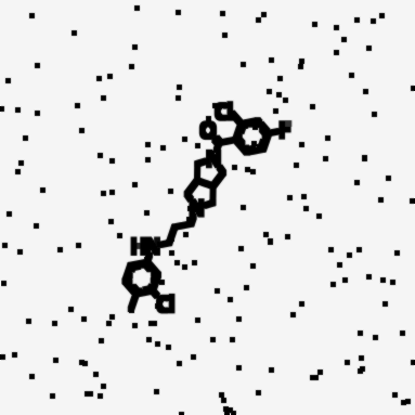 Cc1ccc(NCCCN2CC3CN(C(=O)c4ccc(F)cc4Cl)CC3C2)cc1Cl